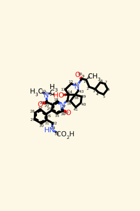 C[C@H](CC1CCCCC1)C(=O)N1CCC(O)(Cn2cc(C(=O)N(C)C)c(-c3ccccc3CNC(=O)O)cc2=O)C2(CCCC2)C1